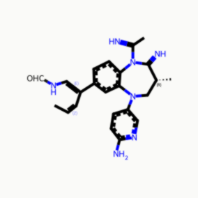 C/C=C\C(=C/NC=O)c1ccc2c(c1)N(c1ccc(N)nc1)C[C@@H](C)C(=N)N2C(C)=N